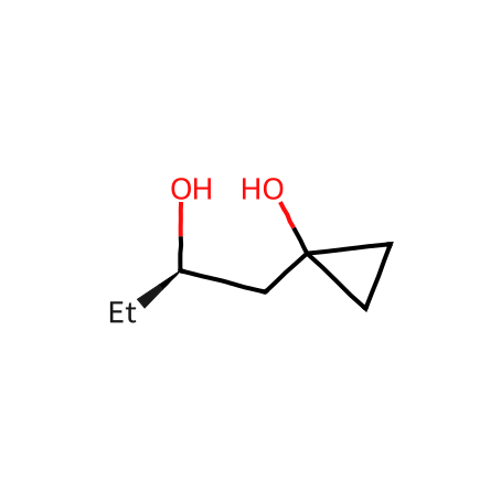 CC[C@@H](O)CC1(O)CC1